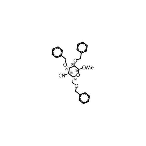 [C-]#[N+][C@H]1[C@H](OCc2ccccc2)[C@@H](OCc2ccccc2)[C@@H](OC)O[C@@H]1COCc1ccccc1